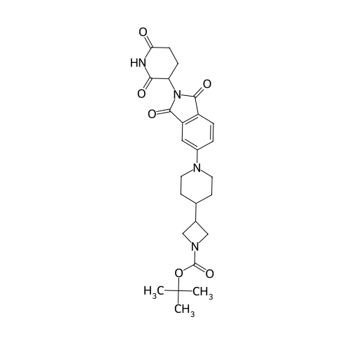 CC(C)(C)OC(=O)N1CC(C2CCN(c3ccc4c(c3)C(=O)N(C3CCC(=O)NC3=O)C4=O)CC2)C1